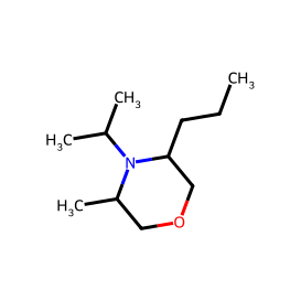 CCCC1COCC(C)N1C(C)C